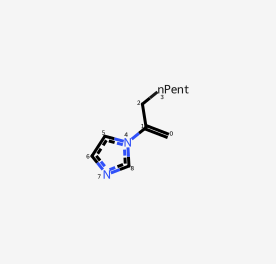 C=C(CCCCCC)n1ccnc1